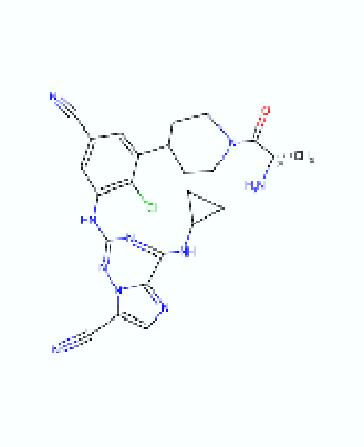 C[C@H](N)C(=O)N1CCC(c2cc(C#N)cc(Nc3nc(NC4CC4)c4ncc(C#N)n4n3)c2Cl)CC1